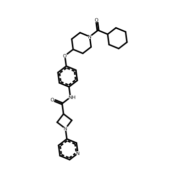 O=C(Nc1ccc(OC2CCN(C(=O)C3CCCCC3)CC2)cc1)C1CN(c2cccnc2)C1